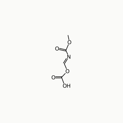 COC(=O)N=COC(=O)O